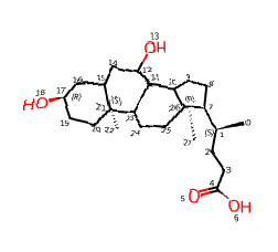 C[C@@H](CCC(=O)O)C1CCC2C3C(O)CC4C[C@H](O)CC[C@]4(C)C3CC[C@@]21C